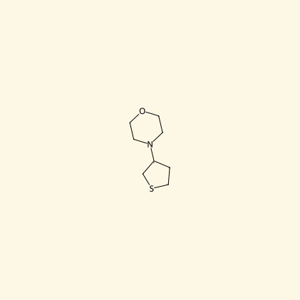 C1CN([C]2CCSC2)CCO1